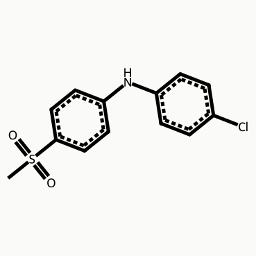 CS(=O)(=O)c1ccc(Nc2ccc(Cl)cc2)cc1